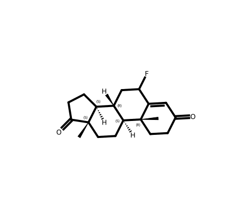 C[C@]12CCC(=O)C=C1C(F)C[C@@H]1[C@@H]2CC[C@]2(C)C(=O)CC[C@@H]12